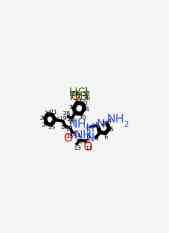 Cc1nc(N)ccc1CNC(=O)C(C)NC(=O)C(CCc1ccccc1)NC(C)c1cccc(O)c1.Cl.Cl